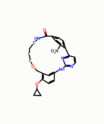 O=C1NCCCCOCc2cc(ccc2OC2CC2)Nc2nccc(n2)-c2ccc1cc2[N+](=O)[O-]